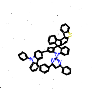 c1ccc(-c2cc(-c3ccccc3)nc(N3c4ccccc4C4(c5ccccc5-c5c4ccc4sc6ccccc6c54)c4ccc(-c5ccc6c(c5)c5ccccc5n6-c5ccccc5)cc43)n2)cc1